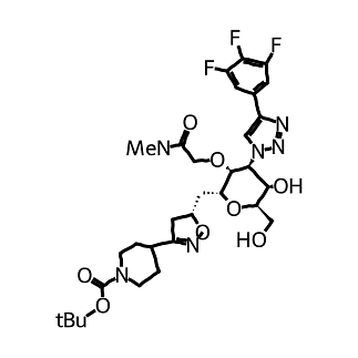 CNC(=O)CO[C@@H]1[C@@H](n2cc(-c3cc(F)c(F)c(F)c3)nn2)[C@@H](O)[C@@H](CO)O[C@@H]1C[C@H]1CC(C2CCN(C(=O)OC(C)(C)C)CC2)=NO1